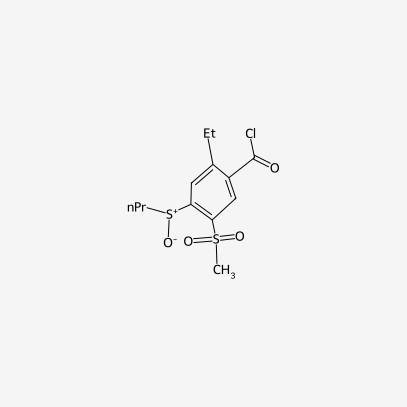 CCC[S+]([O-])c1cc(CC)c(C(=O)Cl)cc1S(C)(=O)=O